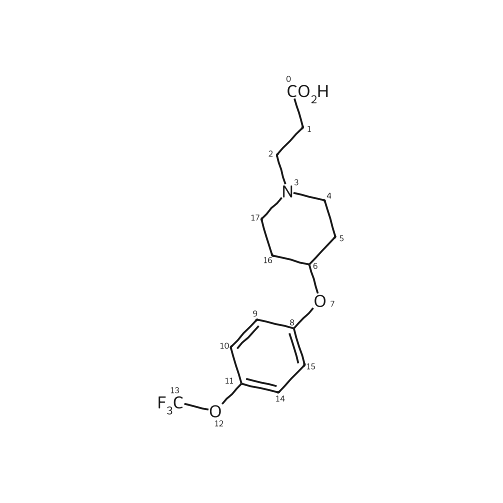 O=C(O)CCN1CCC(Oc2ccc(OC(F)(F)F)cc2)CC1